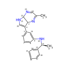 CC1=NC2C(c3cccc(N[C@@H](C)c4ccccc4)c3)=CNC2N=C1